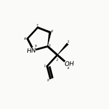 C=C[C@@](C)(O)[C@@H]1CCCN1